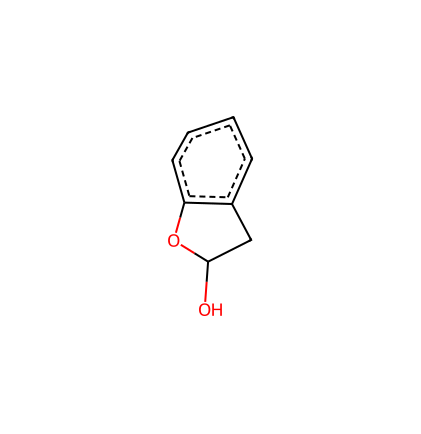 OC1Cc2ccccc2O1